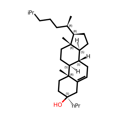 CCC[C@]1(O)CC[C@@]2(C)C(=CC[C@H]3[C@@H]4CC[C@H]([C@H](C)CCCC(C)C)[C@@]4(C)CC[C@@H]32)C1